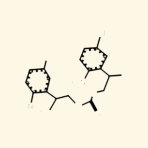 CC(COC(=O)OCC(C)c1cc(Cl)ccc1[N+](=O)[O-])c1cc(Cl)ccc1[N+](=O)[O-]